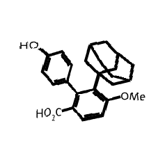 COc1ccc(C(=O)O)c(-c2ccc(O)cc2)c1C12CC3CC(CC(C3)C1)C2